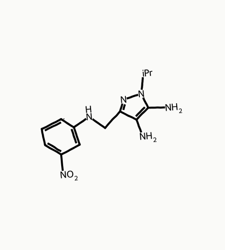 CC(C)n1nc(CNc2[c]ccc([N+](=O)[O-])c2)c(N)c1N